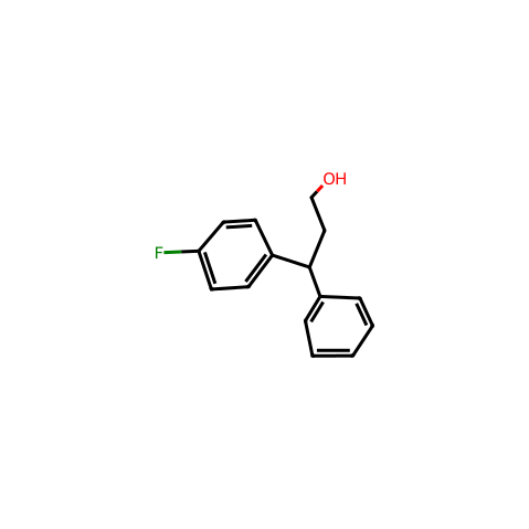 OCCC(c1ccccc1)c1ccc(F)cc1